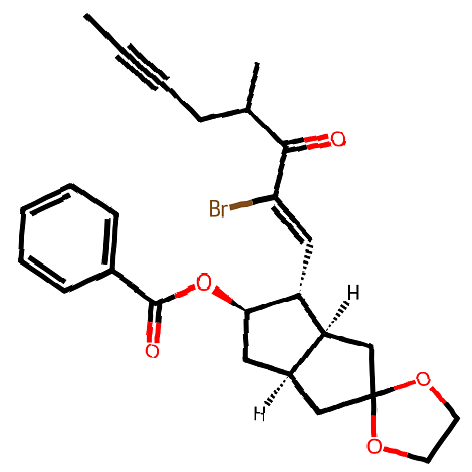 CC#CCC(C)C(=O)/C(Br)=C/[C@@H]1[C@H]2CC3(C[C@H]2C[C@H]1OC(=O)c1ccccc1)OCCO3